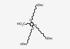 CCCCCCCCCCCCCCCCCCOc1cc(OCCCCCCCCCCCCCCCCCC)c(OCCCCCCCCCCCCCCCCCC)cc1CCC(=O)O